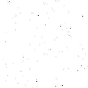 CN1CCc2ccccc2C12CCN(CC1CCOCC1)CC2